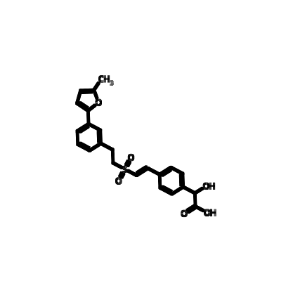 Cc1ccc(-c2cccc(CCS(=O)(=O)C=Cc3ccc(C(O)C(=O)O)cc3)c2)o1